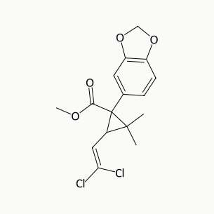 COC(=O)C1(c2ccc3c(c2)OCO3)C(C=C(Cl)Cl)C1(C)C